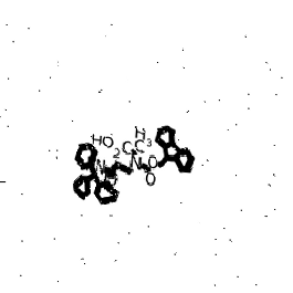 C[C@@H](C(=O)O)N(CCC(=O)NC(c1ccccc1)(c1ccccc1)c1ccccc1)C(=O)OCC1c2ccccc2-c2ccccc21